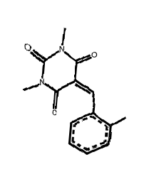 Cc1ccccc1C=C1C(=O)N(C)C(=O)N(C)C1=O